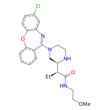 CC[C@H](C(=O)NCCOC)[C@H]1CN(C2=Nc3cc(Cl)ccc3Oc3ccccc32)CCN1